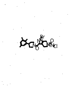 Cc1cc(C)c(C)c(C2CCN(C(=O)c3nn(Br)c4c3CCN(C(=O)NCl)C4)CC2)c1